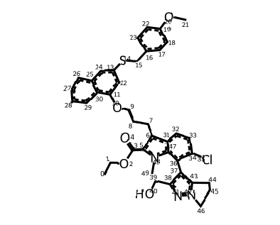 CCOC(=O)c1c(CCCOc2cc(SCc3ccc(OC)cc3)cc3ccccc23)c2ccc(Cl)c(-c3c(CO)nn4c3CCC4)c2n1C